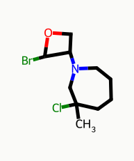 CC1(Cl)CCCCN(C2COC2Br)C1